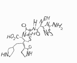 Nc1nc(C(=NO)C(=O)N[C@@H]2C(=O)N3C(C(=O)O)=C(C(CC4CCNC4)=C4CCNC4=O)CS[C@H]23)ns1